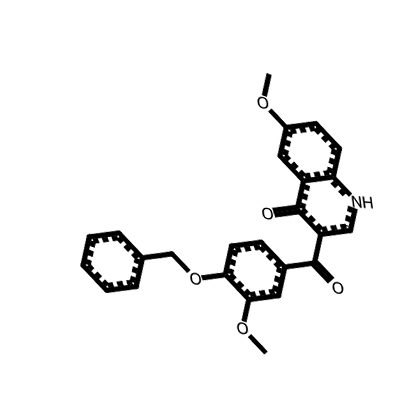 COc1ccc2[nH]cc(C(=O)c3ccc(OCc4ccccc4)c(OC)c3)c(=O)c2c1